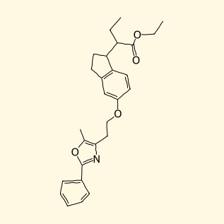 CCOC(=O)C(CC)C1CCc2cc(OCCc3nc(-c4ccccc4)oc3C)ccc21